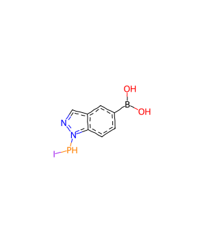 OB(O)c1ccc2c(cnn2PI)c1